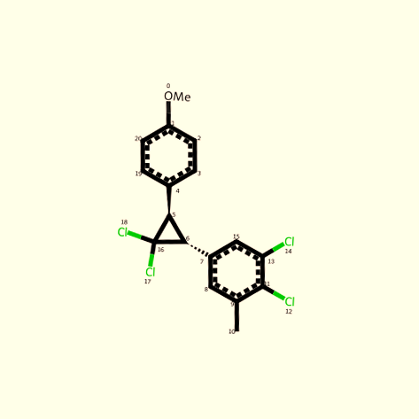 COc1ccc([C@H]2[C@H](c3cc(C)c(Cl)c(Cl)c3)C2(Cl)Cl)cc1